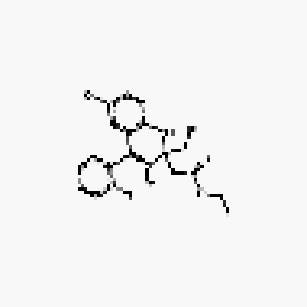 CCOC(=O)CC1(CBr)Nc2ccc(Cl)cc2C(c2ccccc2F)=[N+]1[O-]